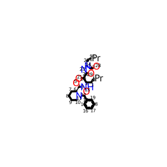 CC(C)CC(NC(=O)[C@@H]1CCCCN1C(=O)c1ccccc1)C(=O)c1nn(CC(C)C)c(=O)o1